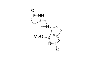 COc1nc(Cl)cc2c1C(N1CC3(CCC(=O)N3)C1)CC2